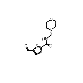 O=Cc1ccc(C(=O)NCN2CCOCC2)s1